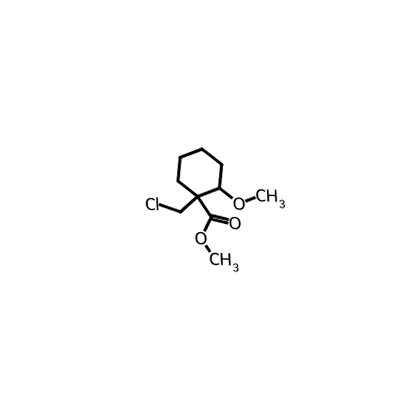 COC(=O)C1(CCl)CCCCC1OC